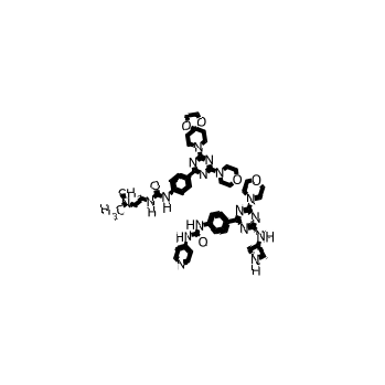 CN(C)CCNC(=O)Nc1ccc(-c2nc(N3CCOCC3)nc(N3CCC4(CC3)OCCO4)n2)cc1.O=C(Nc1ccncc1)Nc1ccc(-c2nc(NC3CNC3)nc(N3CCOCC3)n2)cc1